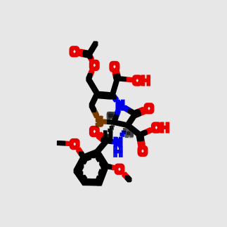 COc1cccc(OC)c1C(=O)N[C@@]1(C(=O)O)C(=O)N2C(C(=O)O)=C(COC(C)=O)CS[C@@H]21